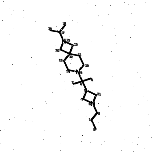 CCCN1CC(C(C)(C)N2CCC3(CC2)CN(C(C)C)C3)C1